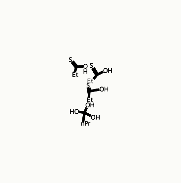 CCC(O)=S.CCC(O)=S.CCC(O)=S.CCCC(O)(O)O